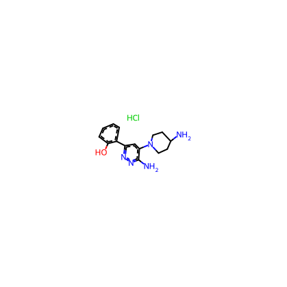 Cl.Nc1nnc(-c2ccccc2O)cc1N1CCC(N)CC1